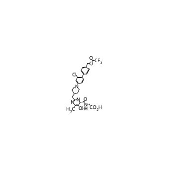 Cc1nc(CC2CCN(c3ccc(-c4ccc(COC(=O)C(F)(F)F)cc4)c(Cl)c3)CC2)nc(C(=O)NCC(=O)O)c1O